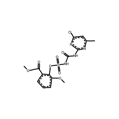 COC(=O)c1cccc(OC)c1OS(=O)(=O)NC(=O)Nc1nc(C)cc(Cl)n1